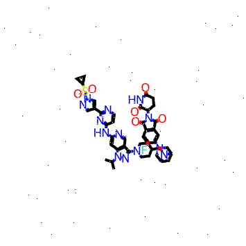 CC(C)n1nc(N2CCC(CN3C4CC3CN(c3cc5c(cc3F)C(=O)N(C3CCC(=O)NC3=O)C5=O)C4)CC2)c2cnc(Nc3ccnc(-c4cnn(S(=O)(=O)C5CC5)c4)n3)cc21